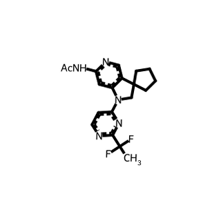 CC(=O)Nc1cc2c(cn1)C1(CCCC1)CN2c1ccnc(C(C)(F)F)n1